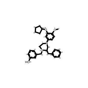 COc1ccc(N2CCN(Cc3cccc(O)c3)C(Cc3ccccc3)C2)cc1OC1CCCC1